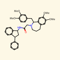 COc1ccc(CC2c3cc(OC)c(OC)cc3CCCN2CC(=O)NC2CC(c3ccccc3)c3ccccc32)cc1OC